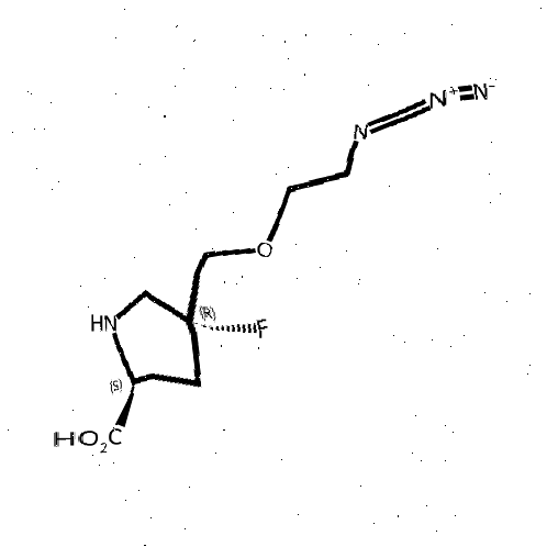 [N-]=[N+]=NCCOC[C@]1(F)CN[C@H](C(=O)O)C1